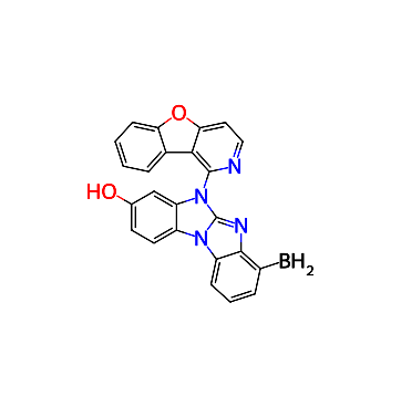 Bc1cccc2c1nc1n(-c3nccc4oc5ccccc5c34)c3cc(O)ccc3n21